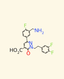 NCc1cc(-c2cc(C(=O)O)c(=O)n(CCc3ccc(F)c(F)c3)n2)ccc1F